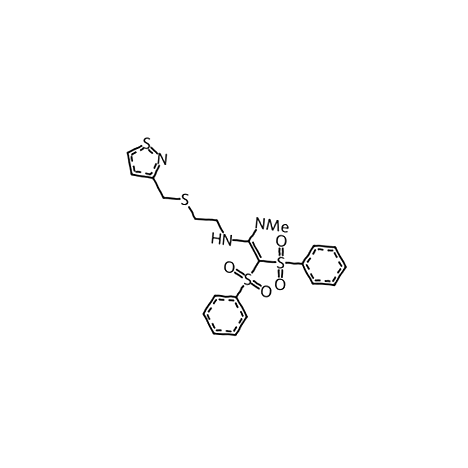 CNC(NCCSCc1ccsn1)=C(S(=O)(=O)c1ccccc1)S(=O)(=O)c1ccccc1